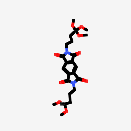 CO[SiH](CCCn1c(=O)c2cc3c(=O)n(CCC[Si](OC)(OC)OC)c(=O)c3cc2c1=O)OC